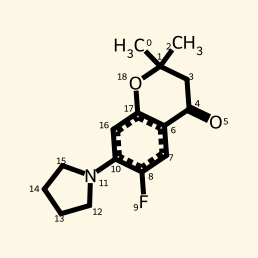 CC1(C)CC(=O)c2cc(F)c(N3CCCC3)cc2O1